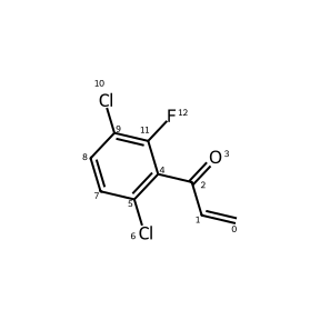 C=CC(=O)c1c(Cl)ccc(Cl)c1F